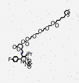 CC(C)c1nc(N(C)S(C)(=O)=O)nc(-c2ccc(F)cc2)c1/C=C/C1CC(OC(=O)OCCOCCOCCOCCOC(=O)CCCCC2CCSS2)CC(=O)O1